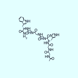 CC(=O)NCC(=O)NCC(=O)N[C@@H](Cc1c[nH]cn1)C(=O)NCC(=O)NCC(=O)NCC(=O)N[C@@H](Cc1c[nH]c2ccccc12)C(N)=O